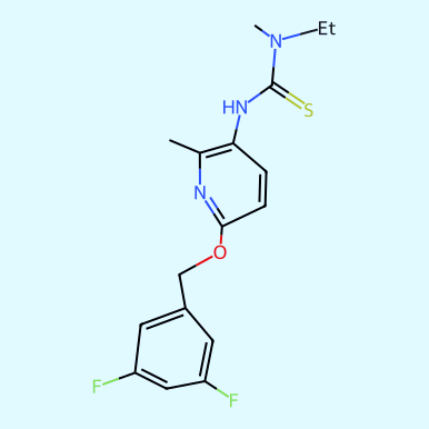 CCN(C)C(=S)Nc1ccc(OCc2cc(F)cc(F)c2)nc1C